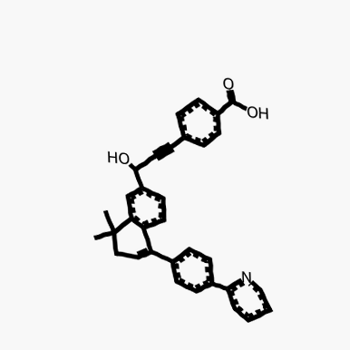 CC1(C)CC=C(c2ccc(-c3ccccn3)cc2)c2ccc(C(O)C#Cc3ccc(C(=O)O)cc3)cc21